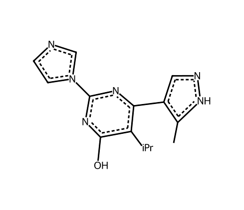 Cc1[nH]ncc1-c1nc(-n2ccnc2)nc(O)c1C(C)C